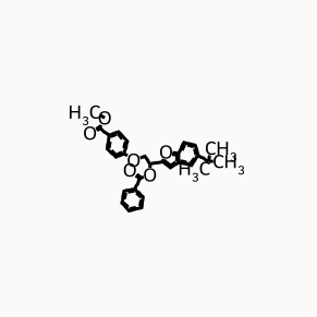 COC(=O)c1ccc(OCC(OC(=O)c2ccccc2)c2cc3cc(C(C)(C)C)ccc3o2)cc1